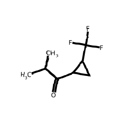 CC(C)C(=O)C1CC1C(F)(F)F